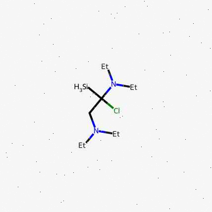 CCN(CC)CC([SiH3])(Cl)N(CC)CC